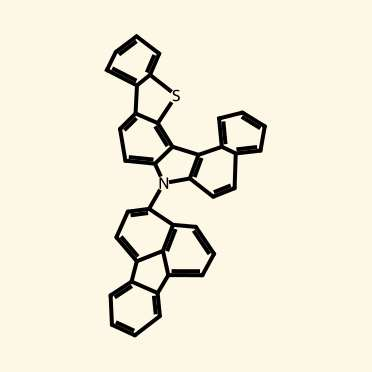 c1ccc2c(c1)-c1cccc3c(-n4c5ccc6ccccc6c5c5c6sc7ccccc7c6ccc54)ccc-2c13